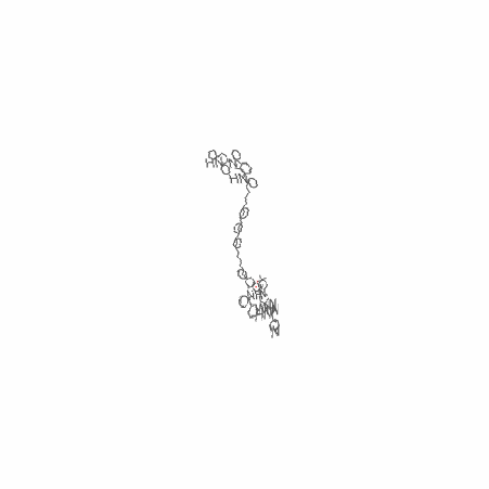 CC(C)(C)OC(=O)N1CCC(Nc2cccc(C(=O)NCc3cccc(OCCCCCCOCCOCCOCCCCCC(=O)Nc4cccc5c4CN(C4CCC(=O)NC4=O)C5=O)c3)c2)(c2nnc(-c3ccncc3)[nH]2)CC1